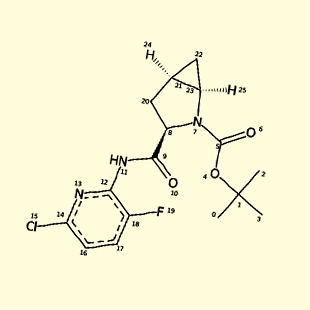 CC(C)(C)OC(=O)N1[C@@H](C(=O)Nc2nc(Cl)ccc2F)C[C@H]2C[C@H]21